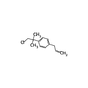 C=CCc1ccc(C(C)(C)CCl)cc1